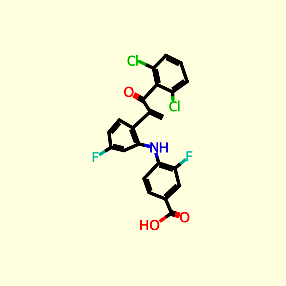 C=C(C(=O)c1c(Cl)cccc1Cl)c1ccc(F)cc1Nc1ccc(C(=O)O)cc1F